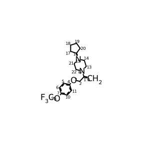 C=C(COc1ccc(OC(F)(F)F)cc1)N1CCN(C2CCCC2)CC1